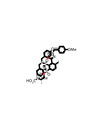 COc1ccc(CN(Cc2ccc(OC)cc2)S(=O)(=O)c2c(S(=O)(=O)NC[C@H](C)NC(=O)O)ccc(I)c2-c2nnn(Cc3ccc(OC)cc3)n2)cc1